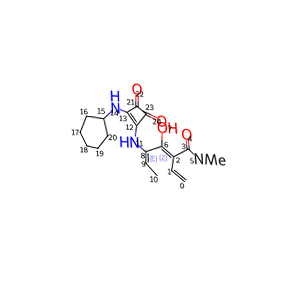 C=C/C(C(=O)NC)=C(O)\C(=C/C)Nc1c(NC2CCCCC2)c(=O)c1=O